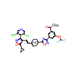 COC(=O)c1cc(OC(F)F)cc(-c2noc(C34CCC(/C=C/c5c(-c6c(Cl)cncc6Cl)noc5C5CC5)(CC3)CC4)n2)c1